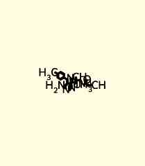 C#CCC(=O)NCC(C)(C)n1nc(-c2ccc(C)cc2)c2c(N)ncnc21